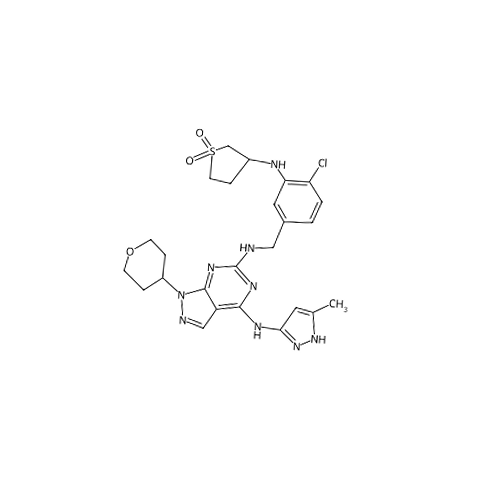 Cc1cc(Nc2nc(NCc3ccc(Cl)c(NC4CCS(=O)(=O)C4)c3)nc3c2cnn3C2CCOCC2)n[nH]1